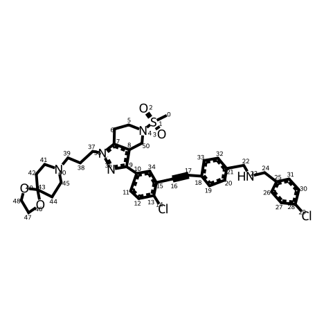 CS(=O)(=O)N1CCc2c(c(-c3ccc(Cl)c(C#Cc4ccc(CNCc5ccc(Cl)cc5)cc4)c3)nn2CCCN2CCC3(CC2)OCCO3)C1